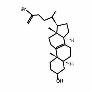 C=C(CCC(C)[C@H]1CC[C@H]2C3=C(CC[C@]12C)[C@@]1(C)CC[C@H](O)C[C@@H]1CC3)C(C)C